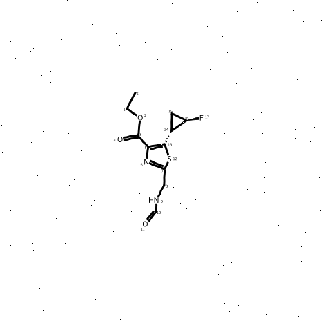 CCOC(=O)c1nc(CNC=O)sc1[C@@H]1C[C@H]1F